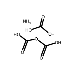 N.O=C(O)O.O=C(O)OC(=O)O